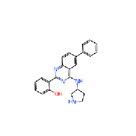 Oc1ccccc1-c1nc(N[C@H]2CCNC2)c2cc(-c3ccccc3)ccc2n1